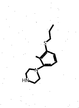 CCCSc1cccc(N2CCNCC2)c1C